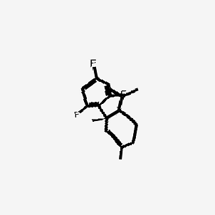 CC1=C[C@](C)(c2c(F)cc(F)cc2F)C(C(C)C)CC1